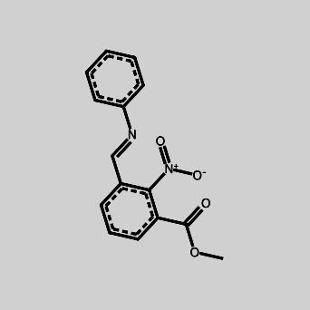 COC(=O)c1cccc(/C=N/c2ccccc2)c1[N+](=O)[O-]